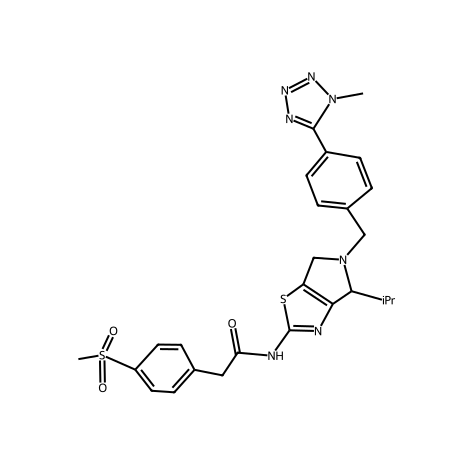 CC(C)C1c2nc(NC(=O)Cc3ccc(S(C)(=O)=O)cc3)sc2CN1Cc1ccc(-c2nnnn2C)cc1